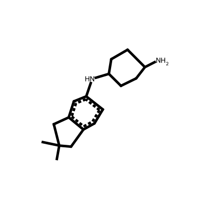 CC1(C)Cc2ccc(NC3CCC(N)CC3)cc2C1